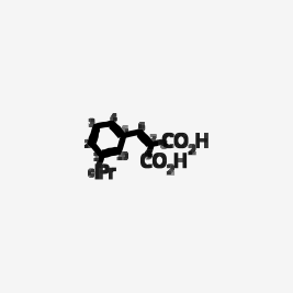 CC(C)c1cccc(C=C(C(=O)O)C(=O)O)c1